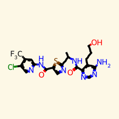 CC(NC(=O)c1ncnc(N)c1CCCO)c1ncc(C(=O)Nc2cc(C(F)(F)F)c(Cl)cn2)s1